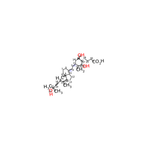 C=C1/C(=C\C=C2/CCC[C@@]3(C)C2CC[C@@H]3[C@H](C)CC#CC(C)(C)O)C[C@@H](O)[C@H](CCCC(=O)O)[C@@H]1O